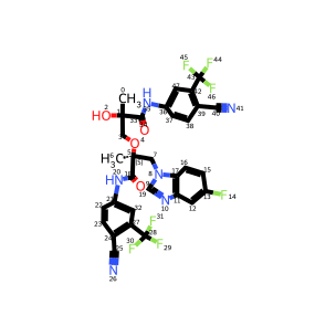 CC(O)(CO[C@@](C)(Cn1cnc2cc(F)ccc21)C(=O)Nc1ccc(C#N)c(C(F)(F)F)c1)C(=O)Nc1ccc(C#N)c(C(F)(F)F)c1